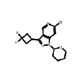 FC1(F)CC(c2nn(C3CCCCO3)c3cc(Cl)ncc23)C1